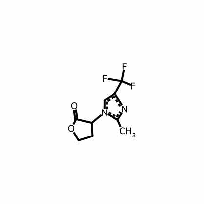 Cc1nc(C(F)(F)F)cn1C1CCOC1=O